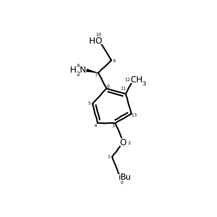 CCC(C)COc1ccc([C@@H](N)CO)c(C)c1